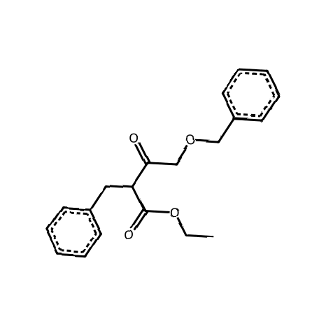 CCOC(=O)C(Cc1ccccc1)C(=O)COCc1ccccc1